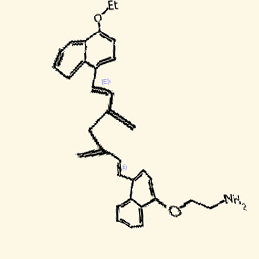 C=C(/C=C/c1ccc(OCC)c2ccccc12)CC(=C)/C=C/c1ccc(OCCN)c2ccccc12